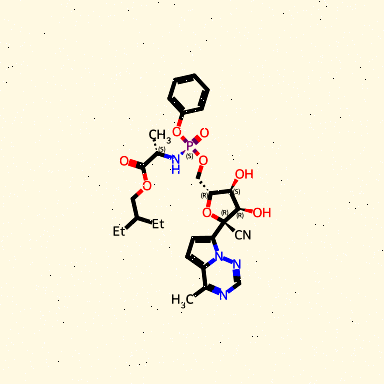 CCC(CC)COC(=O)[C@H](C)N[P@](=O)(OC[C@H]1O[C@@](C#N)(c2ccc3c(C)ncnn23)[C@H](O)[C@@H]1O)Oc1ccccc1